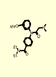 CCN(CC)C(=O)c1ccc(N(C(=O)CN(C)C)c2cccc(OC)c2)cc1